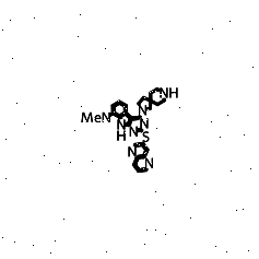 CNc1cccc2c1[nH]c1nc(Sc3cnc4cccnc4c3)nc(N3CCC4(CCNCC4)C3)c12